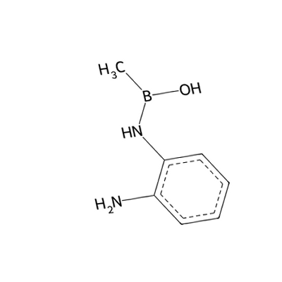 CB(O)Nc1ccccc1N